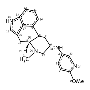 COc1ccc(N[C@H]2CC3c4cccc5[nH]cc(c45)C[C@H]3N(C)C2)cn1